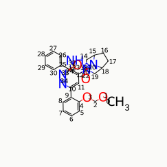 COCOc1ccccc1-c1cc(N2CC3CCC(C2)N3C(=O)OCc2ccccc2)c(N)nn1